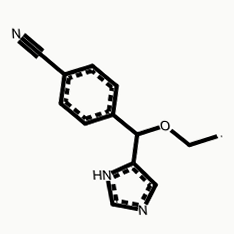 [CH2]COC(c1ccc(C#N)cc1)c1cnc[nH]1